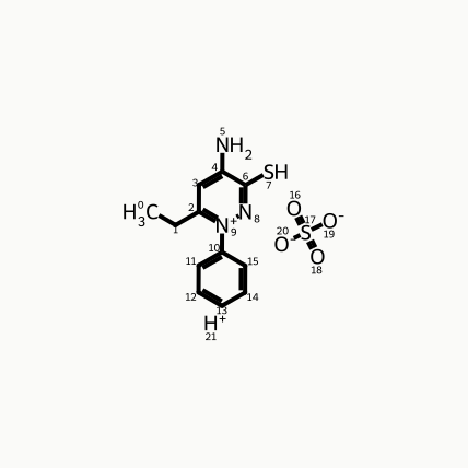 CCc1cc(N)c(S)n[n+]1-c1ccccc1.O=S(=O)([O-])[O-].[H+]